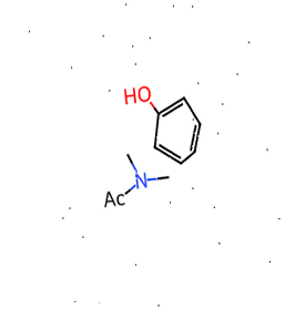 CC(=O)N(C)C.Oc1ccccc1